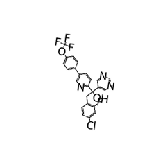 OC(Cc1ccc(Cl)cc1F)(c1cncnc1)c1ccc(-c2ccc(OC(F)(F)F)cc2)cn1